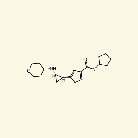 O=C(NC1CCCC1)c1csc([C@H]2C[C@@H]2NC2CCOCC2)c1